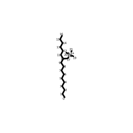 CCCCCCCCCCC(CCCCCC)C[N+](C)(C)C